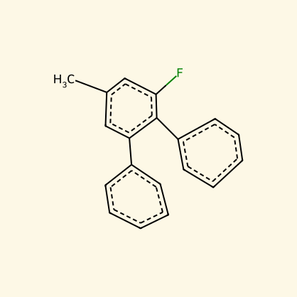 Cc1cc(F)c(-c2ccccc2)c(-c2ccccc2)c1